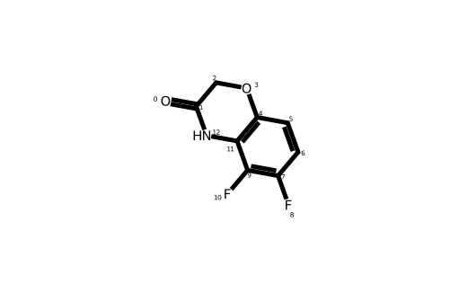 O=C1COc2ccc(F)c(F)c2N1